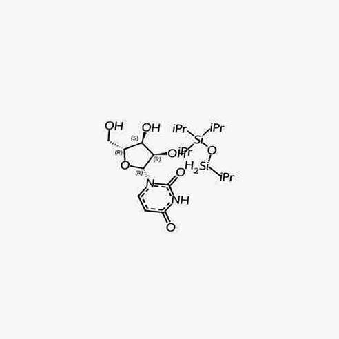 CC(C)[SiH2]O[Si](C(C)C)(C(C)C)C(C)C.O=c1ccn([C@@H]2O[C@H](CO)[C@@H](O)[C@H]2O)c(=O)[nH]1